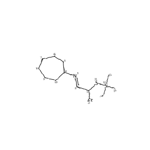 CCC(C=NC1CCCCCC1)S[Si](C)(C)C